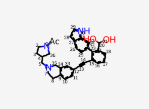 CC(=O)N1CCC(CN2CCc3ccc(C#Cc4cccc(C(O)O)c4-c4ccc5cc[nH]c5c4)cc3C2)C1